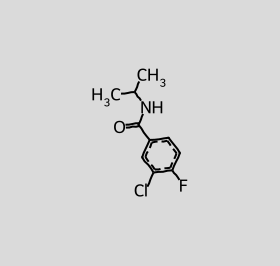 CC(C)NC(=O)c1ccc(F)c(Cl)c1